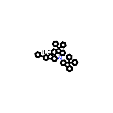 CC1(C)c2cc(-c3ccccc3)ccc2-c2ccc(N(c3ccc4c(c3)C(c3ccccc3)(c3ccccc3)c3ccccc3-4)c3cccc4c3C3=C(C=CCC3)C4(c3ccccc3)c3ccccc3)cc21